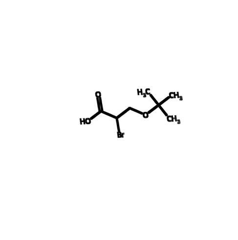 CC(C)(C)OCC(Br)C(=O)O